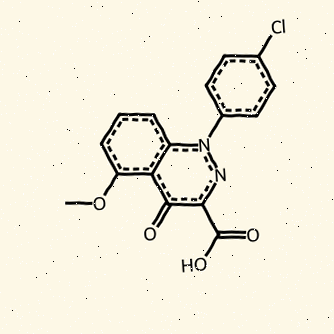 COc1cccc2c1c(=O)c(C(=O)O)nn2-c1ccc(Cl)cc1